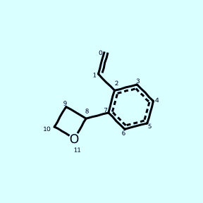 C=Cc1ccccc1C1CCO1